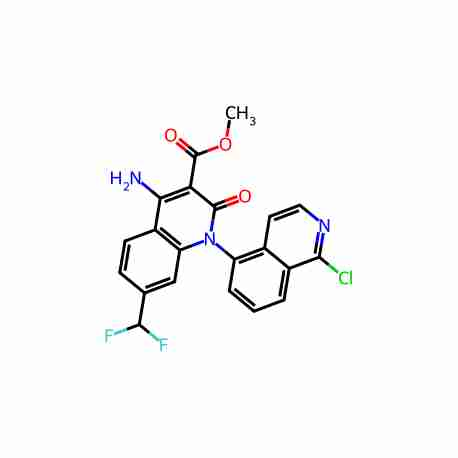 COC(=O)c1c(N)c2ccc(C(F)F)cc2n(-c2cccc3c(Cl)nccc23)c1=O